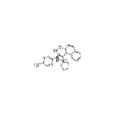 CCOc1ccc2ccccc2c1C(=O)N1C2CCC1C(Nc1cnc(C(F)(F)F)cn1)C2